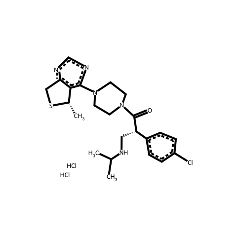 CC(C)NC[C@H](C(=O)N1CCN(c2ncnc3c2[C@H](C)SC3)CC1)c1ccc(Cl)cc1.Cl.Cl